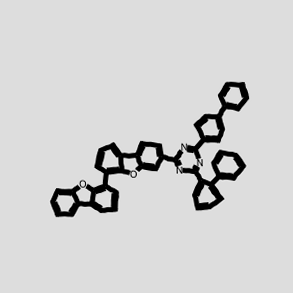 c1ccc(-c2ccc(-c3nc(-c4ccc5c(c4)oc4c(-c6cccc7c6oc6ccccc67)cccc45)nc(-c4ccccc4-c4ccccc4)n3)cc2)cc1